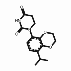 CC(C)c1ccc(N2CCC(=O)NC2=O)c2c1OCCO2